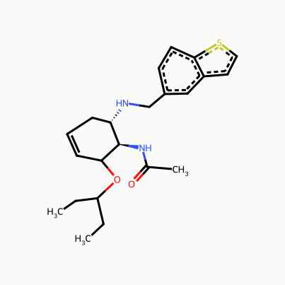 CCC(CC)OC1C=CC[C@H](NCc2ccc3sccc3c2)[C@H]1NC(C)=O